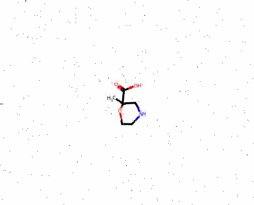 CC1(C(=O)O)CNCCO1